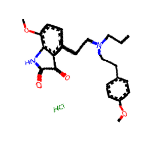 CCCN(CCc1ccc(OC)cc1)CCc1ccc(OC)c2c1C(=O)C(=O)N2.Cl